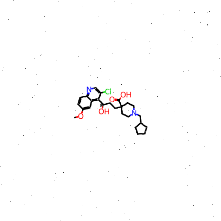 COc1ccc2ncc(Cl)c([C@H](O)CCC3(C(=O)O)CCN(CC4CCCC4)CC3)c2c1